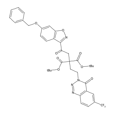 CC(C)(C)OC(=O)C(CCn1nnc2ccc(C(F)(F)F)cc2c1=O)(CC(=O)c1noc2cc(OCc3ccccc3)ccc12)C(=O)OC(C)(C)C